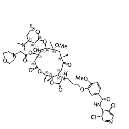 COc1ccc(C(=O)Nc2c(Cl)cncc2Cl)cc1OCCCN1C(=O)O[C@]2(C)[C@@H](I)OC(=O)[C@H](C)[C@@H](OC(=O)CN3CCOCC3)[C@H](C)[C@@H](O[C@@H]3O[C@H](C)C[C@H](N(C)C)[C@H]3O)[C@](C)(OC)C[C@@H](C)C(=O)[C@H](C)[C@@H]12